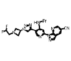 CC(C)Nc1cc(-n2ncc3cc(C#N)cnc32)ncc1-c1cn(C2CN(CC(F)F)C2)nn1